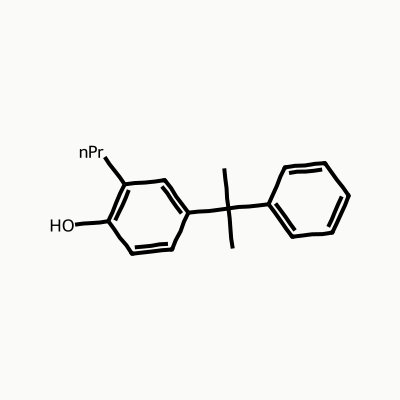 CCCc1cc(C(C)(C)c2ccccc2)ccc1O